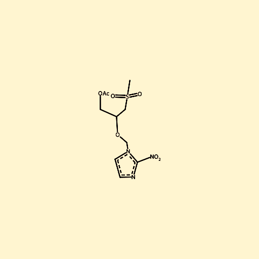 CC(=O)OCC(CS(C)(=O)=O)OCn1ccnc1[N+](=O)[O-]